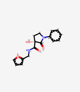 O=C(NCc1ccco1)[C@@]1(O)CCN(c2ccccc2)C1=O